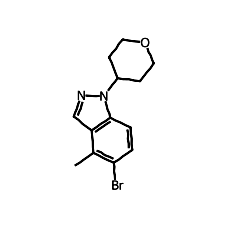 Cc1c(Br)ccc2c1cnn2C1CCOCC1